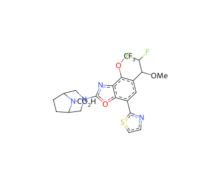 COC(c1cc(-c2nccs2)c2oc(N3CC4CCC(C3)N4C(=O)O)nc2c1OC(F)(F)F)C(F)F